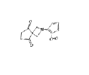 O=Cc1sccc1N1CC2(C1)C(=O)CCC2=O